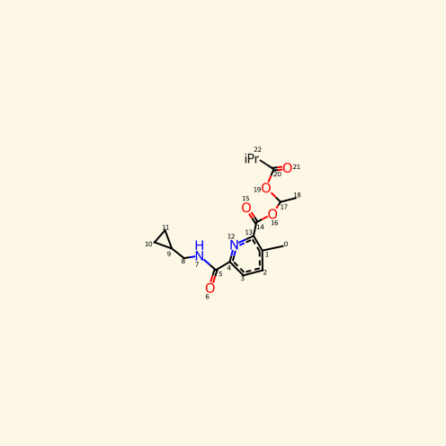 Cc1ccc(C(=O)NCC2CC2)nc1C(=O)OC(C)OC(=O)C(C)C